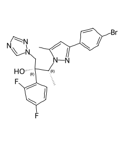 Cc1cc(-c2ccc(Br)cc2)nn1[C@H](C)[C@](O)(Cn1cncn1)c1ccc(F)cc1F